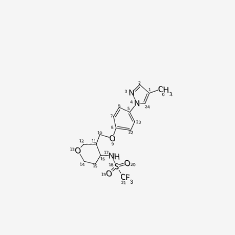 Cc1cnn(-c2ccc(OCC3COCCC3NS(=O)(=O)C(F)(F)F)cc2)c1